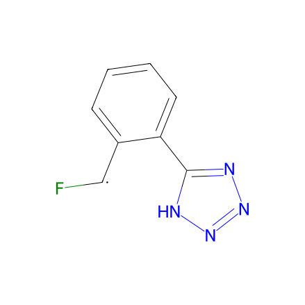 F[CH]c1ccccc1-c1nnn[nH]1